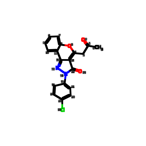 CC(=O)Cc1oc2ccccc2c2nn(-c3ccc(Cl)cc3)c(=O)c1-2